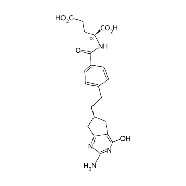 Nc1nc(O)c2c(n1)CC(CCc1ccc(C(=O)N[C@@H](CCC(=O)O)C(=O)O)cc1)C2